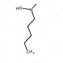 CCCCCN(O)O